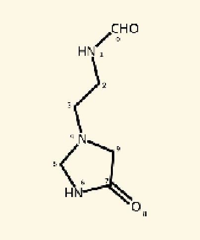 O=CNCCN1CNC(=O)C1